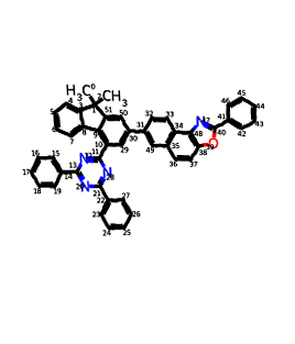 CC1(C)c2ccccc2-c2c(-c3nc(-c4ccccc4)nc(-c4ccccc4)n3)cc(-c3ccc4c(ccc5oc(-c6ccccc6)nc54)c3)cc21